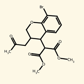 COC(=O)C(C(=O)OC)C1c2cccc(Br)c2OCC1CC(C)=O